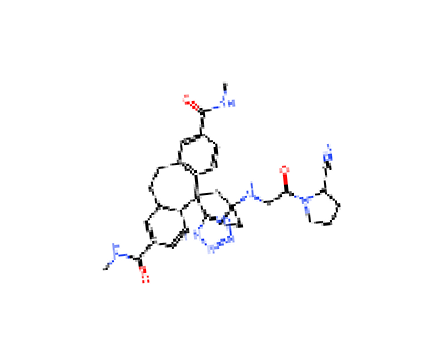 CNC(=O)C1=CC2CCc3cc(C(=O)NC)ccc3C(CC3(NCC(=O)N4CCCC4C#N)CC3)(c3nnn[nH]3)C2C=C1